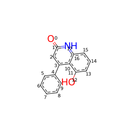 O=c1cc(-c2ccccc2)c2c(O)cccc2[nH]1